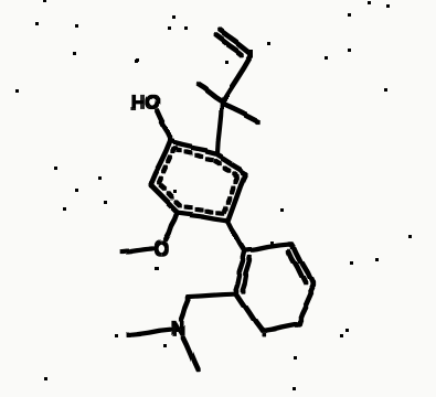 C=CC(C)(C)c1cc(C2=C(CN(C)C)[CH]CC=C2)c(OC)cc1O